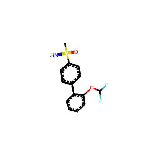 CS(=N)(=O)c1ccc(-c2ccccc2OC(F)F)cc1